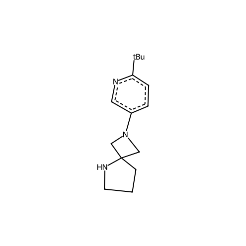 CC(C)(C)c1ccc(N2CC3(CCCN3)C2)cn1